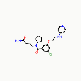 NC(=O)CCCN(C(=O)c1cc(Cl)cc(OCCNc2ccncc2)c1)C1CCCC1